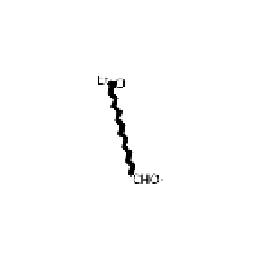 CCC(=O)CCCCCCCCCCCCC[C]=O